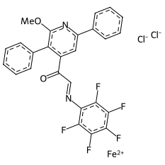 COc1nc(-c2ccccc2)cc(C(=O)C=Nc2c(F)c(F)c(F)c(F)c2F)c1-c1ccccc1.[Cl-].[Cl-].[Fe+2]